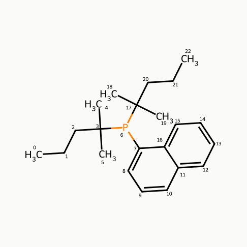 CCCC(C)(C)P(c1cccc2ccccc12)C(C)(C)CCC